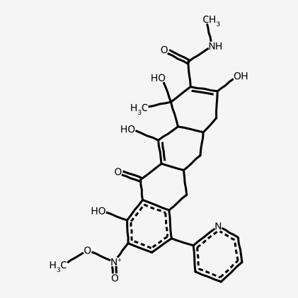 CNC(=O)C1=C(O)CC2CC3Cc4c(-c5ccccn5)cc([N+](=O)OC)c(O)c4C(=O)C3=C(O)C2C1(C)O